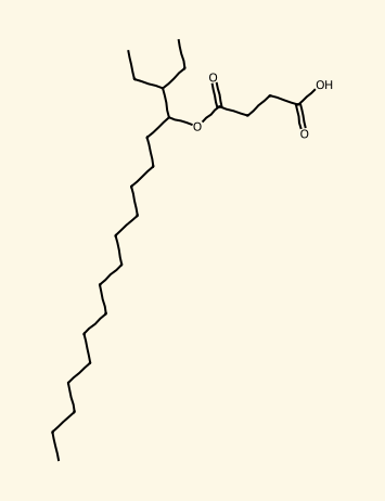 CCCCCCCCCCCCCCC(OC(=O)CCC(=O)O)C(CC)CC